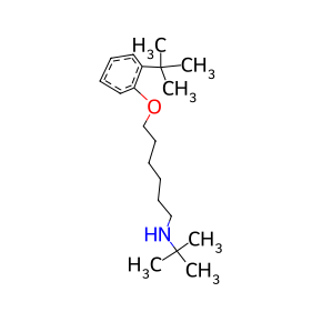 CC(C)(C)NCCCCCCOc1ccccc1C(C)(C)C